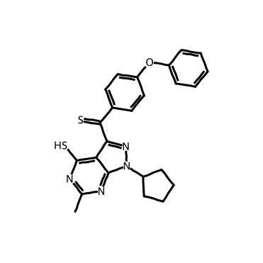 Cc1nc(S)c2c(C(=S)c3ccc(Oc4ccccc4)cc3)nn(C3CCCC3)c2n1